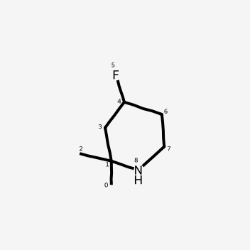 CC1(C)CC(F)CCN1